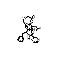 CC(C)C[C@H](NC(=O)C(Cc1ccccc1)NC(=O)c1cnccn1)B1OCCNCC(=O)O1